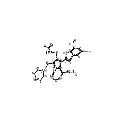 COc1cc(C)cc2cc(-c3c(CNC(C)=O)c(CN4CCNCC4)n4ncnc(N)c34)sc12